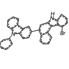 Brc1cccc2[nH]c3cc(-c4ccc5c(c4)c4ccccc4n5-c4ccccc4)c4ccccc4c3c12